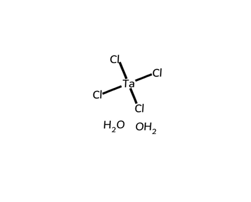 O.O.[Cl][Ta]([Cl])([Cl])[Cl]